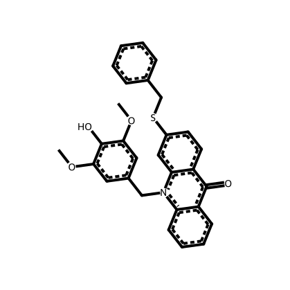 COc1cc(Cn2c3ccccc3c(=O)c3ccc(SCc4ccccc4)cc32)cc(OC)c1O